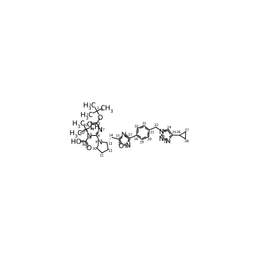 CC(C)(C)OC(=O)N=C(N1CCC[C@H]1Cc1nc(-c2ccc(Cn3cc(C4CC4)nn3)cc2)no1)N(C(=O)O)C(C)(C)C